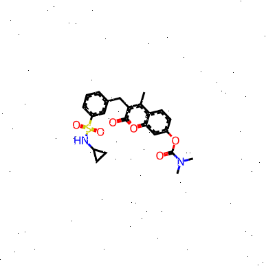 Cc1c(Cc2cccc(S(=O)(=O)NC3CC3)c2)c(=O)oc2cc(OC(=O)N(C)C)ccc12